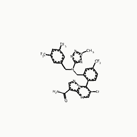 CCc1cnc2c(C(N)=O)cnn2c1-c1ccc(C(F)(F)F)cc1CN(Cc1cc(C(F)(F)F)cc(C(F)(F)F)c1)c1nnn(C)n1